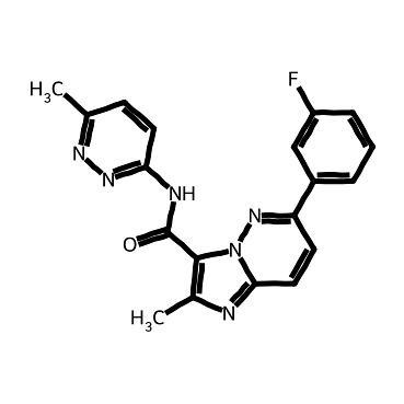 Cc1ccc(NC(=O)c2c(C)nc3ccc(-c4cccc(F)c4)nn23)nn1